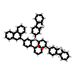 c1ccc(-c2ccc(-c3cc4ccccc4c4ccccc34)cc2N(c2ccc(-c3ccc4c(c3)oc3ccccc34)cc2)c2ccc3c(c2)oc2ccccc23)cc1